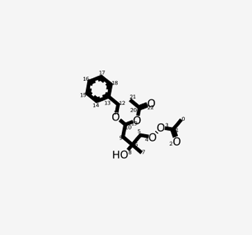 CC(=O)OOCC(C)(O)CC(OCc1ccccc1)OC(C)=O